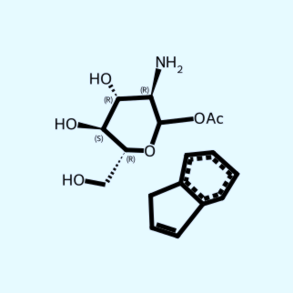 C1=Cc2ccccc2C1.CC(=O)OC1O[C@H](CO)[C@@H](O)[C@H](O)[C@H]1N